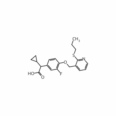 CCCSc1ncccc1COc1ccc(C(C(=O)O)C2CC2)cc1F